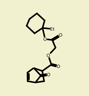 CCC1(OC(=O)COC(=O)C2CC3C=CC2C3=O)CCCCC1